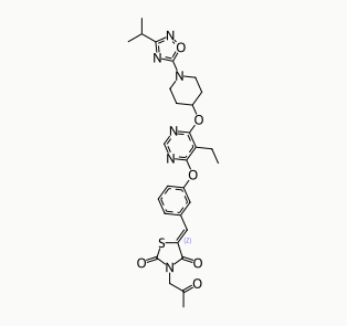 CCc1c(Oc2cccc(/C=C3\SC(=O)N(CC(C)=O)C3=O)c2)ncnc1OC1CCN(c2nc(C(C)C)no2)CC1